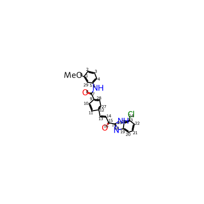 COc1cccc(NC(=O)c2ccc(C=CC(=O)c3nc4cccc(Cl)c4[nH]3)cc2)c1